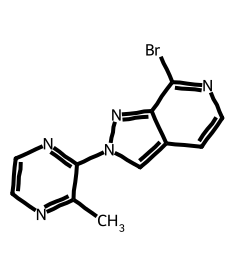 Cc1nccnc1-n1cc2ccnc(Br)c2n1